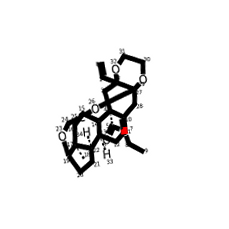 C=CC12C[C@@]3(C(=O)OCC)C4=CC[C@@H]5C3CC[C@]3(C)C(CC[C@H]53)OCCOC1(C4)OCCO2